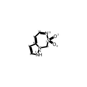 O=S1(=O)CN2NC=CC2=CC=N1